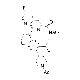 CNC(=O)c1cc2cc(F)cnc2c(N2CCCc3cc(C4CCN(C(C)=O)CC4)c(C(F)F)cc32)n1